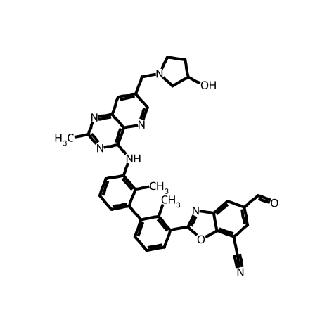 Cc1nc(Nc2cccc(-c3cccc(-c4nc5cc(C=O)cc(C#N)c5o4)c3C)c2C)c2ncc(CN3CCC(O)C3)cc2n1